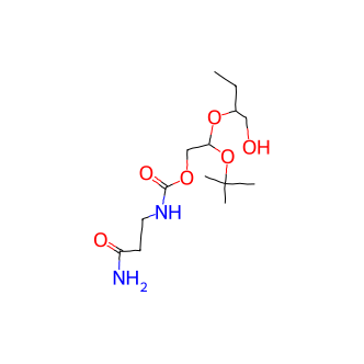 CCC(CO)OC(COC(=O)NCCC(N)=O)OC(C)(C)C